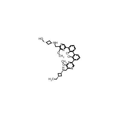 CC[C@H]1C[C@@H](NCc2ncc(-c3cccc(-c4cccc(-c5cnc(CN[C@H]6C[C@@H](CO)C6)c(OC)n5)c4Cl)c3Cl)nc2OC)C1